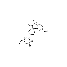 CN1C(=O)C2(CCN(c3nc4c(c(=O)[nH]3)CCCC4)CC2)c2cc(O)ccc21